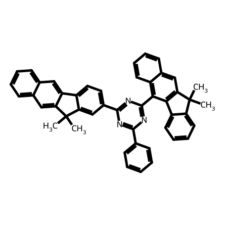 CC1(C)c2cc(-c3nc(-c4ccccc4)nc(-c4c5c(cc6ccccc46)C(C)(C)c4ccccc4-5)n3)ccc2-c2cc3ccccc3cc21